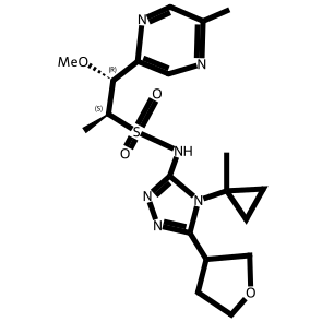 CO[C@H](c1cnc(C)cn1)[C@H](C)S(=O)(=O)Nc1nnc(C2CCOC2)n1C1(C)CC1